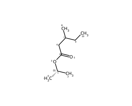 [CH2][C@@H](C)OC(=O)CC(C)CC